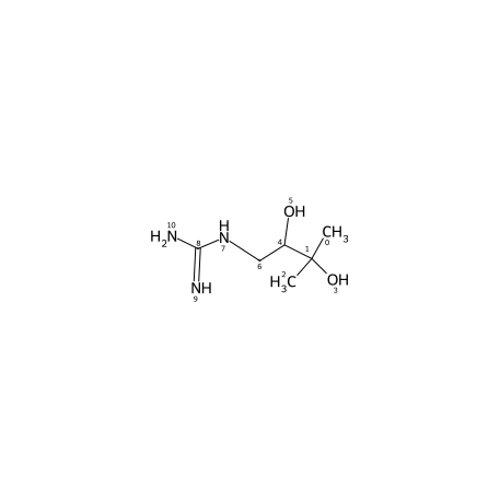 CC(C)(O)C(O)CNC(=N)N